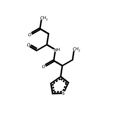 CCC(C(=O)NC(C=O)CC(C)=O)c1ccsc1